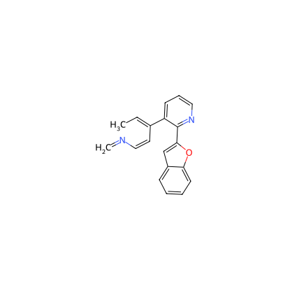 C=N/C=C\C(=C/C)c1cccnc1-c1cc2ccccc2o1